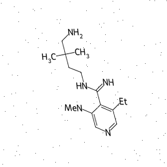 CCc1cncc(NC)c1C(=N)NCCC(C)(C)CN